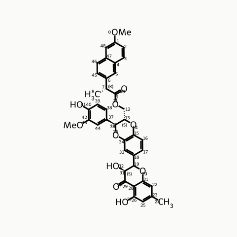 COc1ccc2cc([C@@H](C)C(=O)OC[C@@H]3Oc4ccc(C5Oc6cc(C)cc(O)c6C(=O)[C@H]5O)cc4O[C@H]3c3ccc(O)c(OC)c3)ccc2c1